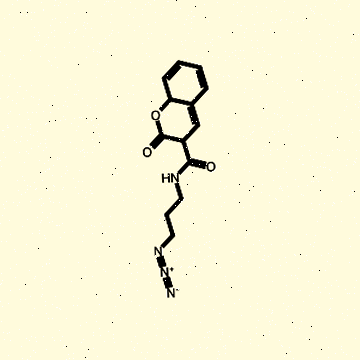 [N-]=[N+]=NCCCNC(=O)C1C=C2C=CC=CC2OC1=O